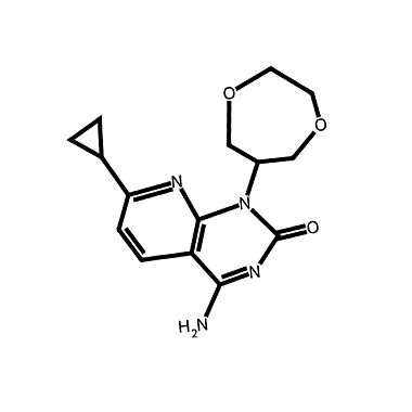 Nc1nc(=O)n(C2COCCOC2)c2nc(C3CC3)ccc12